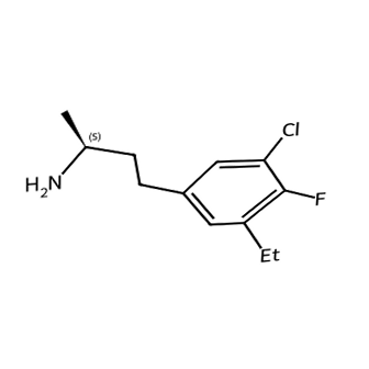 CCc1cc(CC[C@H](C)N)cc(Cl)c1F